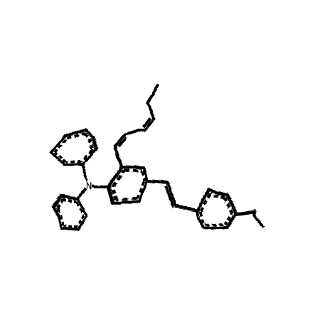 CC/C=C\C=C/c1cc(C=Cc2ccc(CC)cc2)ccc1N(c1ccccc1)c1ccccc1